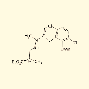 CCOC(=O)[C@H](C)CNN(C)C(=O)Cc1c(Cl)ccc(Cl)c1OC